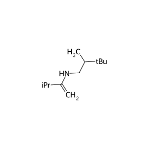 C=C(NCC(C)C(C)(C)C)C(C)C